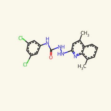 Cc1cc(NNC(=O)Nc2cc(Cl)cc(Cl)c2)nc2c(C)cccc12